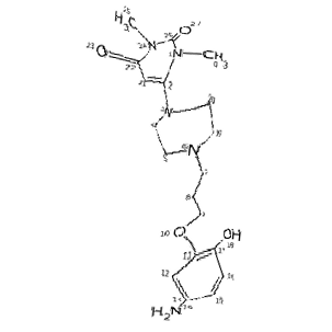 Cn1c(N2CCN(CCCOc3cc(N)ccc3O)CC2)cc(=O)n(C)c1=O